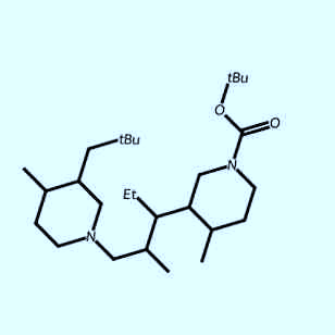 CCC(C(C)CN1CCC(C)C(CC(C)(C)C)C1)C1CN(C(=O)OC(C)(C)C)CCC1C